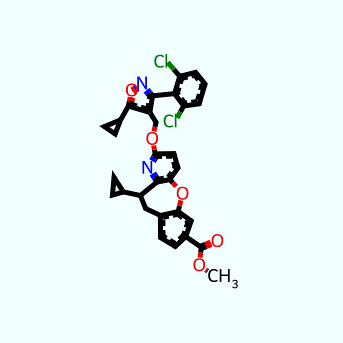 COC(=O)c1ccc2c(c1)Oc1ccc(OCc3c(-c4c(Cl)cccc4Cl)noc3C3CC3)nc1C(C1CC1)C2